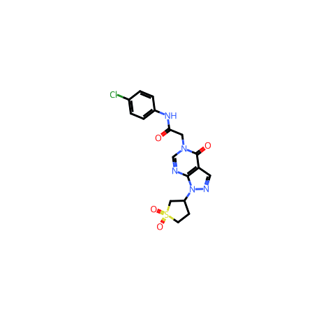 O=C(Cn1cnc2c(cnn2C2CCS(=O)(=O)C2)c1=O)Nc1ccc(Cl)cc1